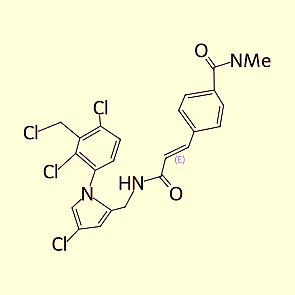 CNC(=O)c1ccc(/C=C/C(=O)NCc2cc(Cl)cn2-c2ccc(Cl)c(CCl)c2Cl)cc1